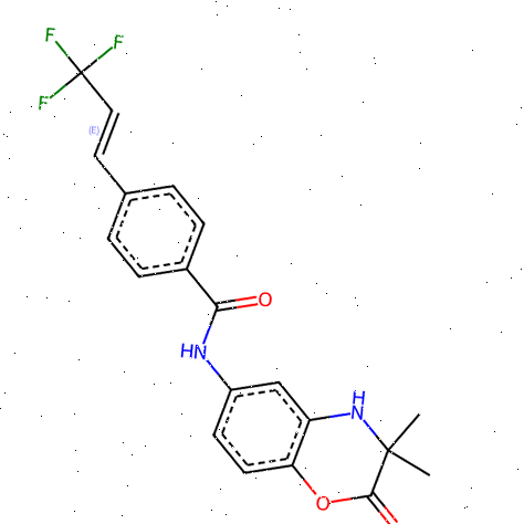 CC1(C)Nc2cc(NC(=O)c3ccc(/C=C/C(F)(F)F)cc3)ccc2OC1=O